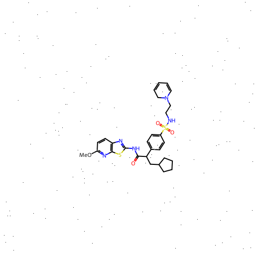 COc1ccc2nc(NC(=O)C(CC3CCCC3)c3ccc(S(=O)(=O)NCCN4C=CC=CC4)cc3)sc2n1